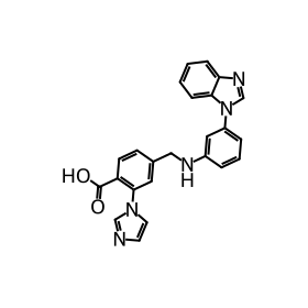 O=C(O)c1ccc(CNc2cccc(-n3cnc4ccccc43)c2)cc1-n1ccnc1